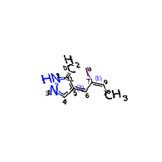 C=c1[nH]nc/c1=C/C(I)=C\C